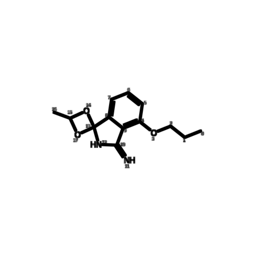 CCCOc1cccc2c1C(=N)NC21OC(C)O1